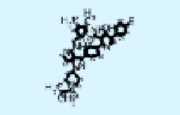 Cc1ccc(CNc2nccc3c2c(-c2ccc(-c4ncc(-c5ccc(F)cc5)c(O)c4C(N)=O)cc2)nn3C2CCN(C(=O)C(C)C)CC2)cc1C